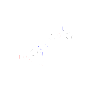 N#Cc1ccccc1COc1ccc2c(c1)CN(Cc1nc3ccc(C(=O)O)cc3n1C[C@@H]1CCO1)CC2